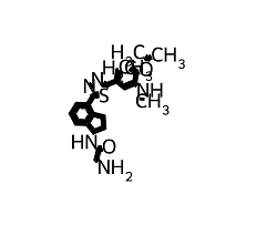 C=C(OC(C)C)/C(=C\C(=C/C)c1nnc(-c2cccc3c2CC[C@@H]3NC(=O)CN)s1)NC